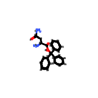 NC(=O)C[C@H](N)C(=O)OC(c1ccccc1)(c1ccccc1)c1ccccc1